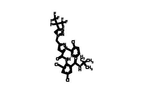 CC(C)(C)NC(=O)c1cc(Cl)cc(Cl)c1NC(=O)c1cc(Cn2cc(C(F)(C(F)(F)F)C(F)(F)F)nn2)nn1-c1ncccc1Cl